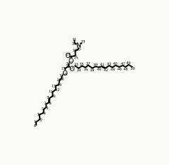 CCCCCCCCC=CCCCCCCCCOCC(COC(=O)CCCN(C)CC)OCCCCCCCCC=CCCCCCCCC